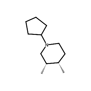 C[C@@H]1CN(C2CCCC2)CC[C@@H]1C